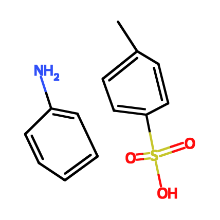 Cc1ccc(S(=O)(=O)O)cc1.Nc1ccccc1